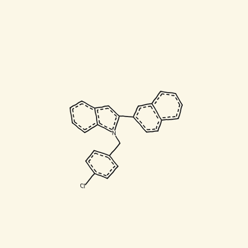 Clc1ccc(Cn2c(-c3ccc4ccccc4c3)cc3ccccc32)cc1